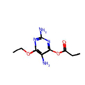 CCOc1nc(N)nc(OC(=O)CC)c1N